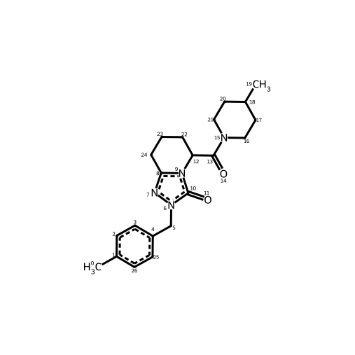 Cc1ccc(Cn2nc3n(c2=O)C(C(=O)N2CCC(C)CC2)CCC3)cc1